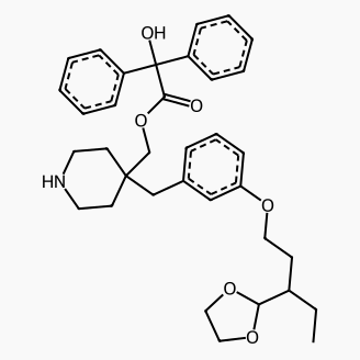 CCC(CCOc1cccc(CC2(COC(=O)C(O)(c3ccccc3)c3ccccc3)CCNCC2)c1)C1OCCO1